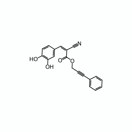 N#CC(=Cc1ccc(O)c(O)c1)C(=O)OCC#Cc1ccccc1